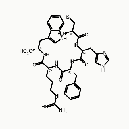 N=C(N)NCCC[C@H](NC(=O)[C@@H](Cc1ccccc1)NC(=O)[C@H](Cc1c[nH]cn1)NC(=O)[C@@H](N)CS)C(=O)N[C@@H](Cc1c[nH]c2ccccc12)C(=O)O